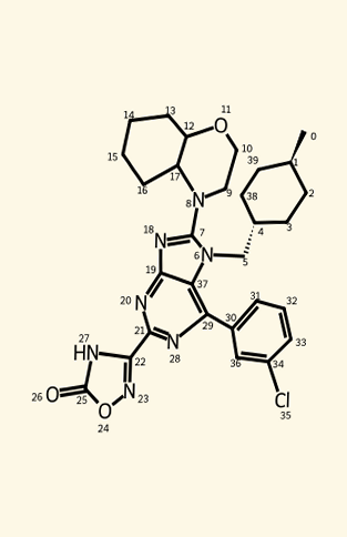 C[C@H]1CC[C@H](Cn2c(N3CCOC4CCCCC43)nc3nc(-c4noc(=O)[nH]4)nc(-c4cccc(Cl)c4)c32)CC1